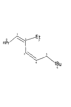 CCC/C=C(\C=C/CC(C)(C)C)CC